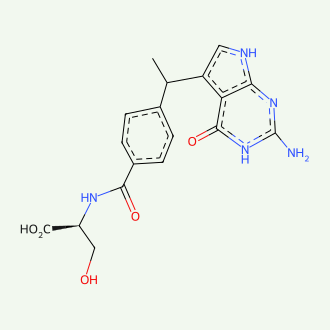 CC(c1ccc(C(=O)N[C@@H](CO)C(=O)O)cc1)c1c[nH]c2nc(N)[nH]c(=O)c12